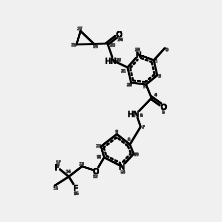 Cc1cc(C(=O)NCc2ccc(OCC(C)(F)F)nc2)cc(NC(=O)C2CC2)n1